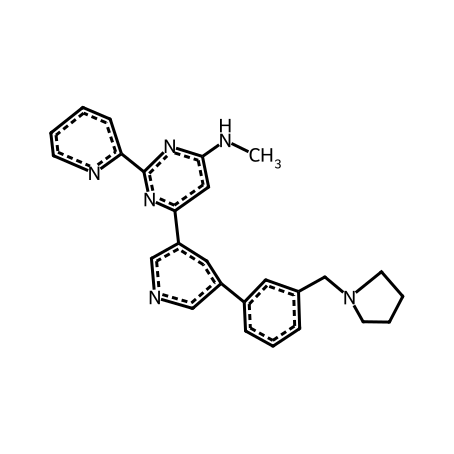 CNc1cc(-c2cncc(-c3cccc(CN4CCCC4)c3)c2)nc(-c2ccccn2)n1